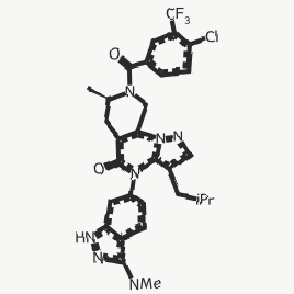 CNc1n[nH]c2cc(-n3c(=O)c4c(n5ncc(CC(C)C)c35)CN(C(=O)c3ccc(Cl)c(C(F)(F)F)c3)[C@H](C)C4)ccc12